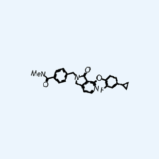 CNC(=O)c1ccc(CN2Cc3ccnc(OC4=C(F)C=C(C5CC5)CC4)c3C2=O)cc1